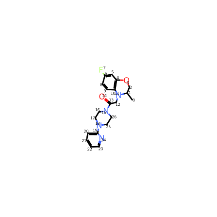 CC1COc2cc(F)ccc2N1CC(=O)N1CCN(c2ccccn2)CC1